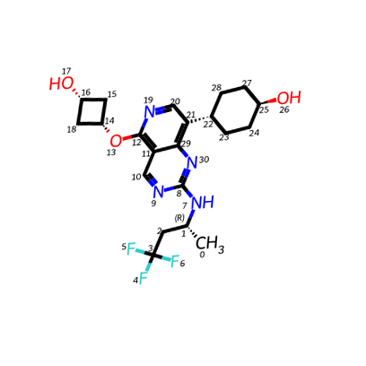 C[C@H](CC(F)(F)F)Nc1ncc2c(O[C@H]3C[C@@H](O)C3)ncc([C@H]3CC[C@H](O)CC3)c2n1